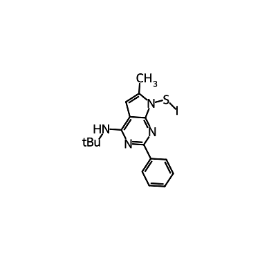 Cc1cc2c(NC(C)(C)C)nc(-c3ccccc3)nc2n1SI